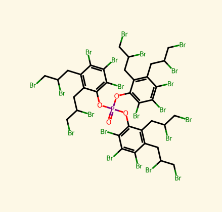 O=P(Oc1c(Br)c(Br)c(Br)c(CC(Br)CBr)c1CC(Br)CBr)(Oc1c(Br)c(Br)c(Br)c(CC(Br)CBr)c1CC(Br)CBr)Oc1c(Br)c(Br)c(Br)c(CC(Br)CBr)c1CC(Br)CBr